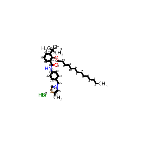 Br.CCCCCCCCCCCCCCOc1c(C(=O)Nc2ccc(CN3C=C(C)SC3)cc2)cccc1C(C)(C)C